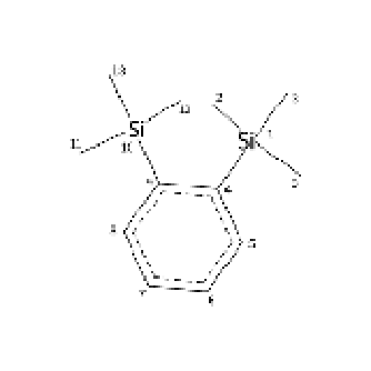 C[Si](C)(C)c1ccccc1[Si](C)(C)C